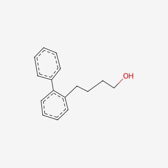 OCCCCc1ccccc1-c1ccccc1